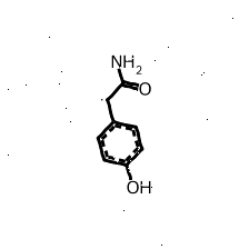 NC(=O)[CH]c1ccc(O)cc1